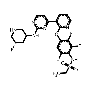 O=S(=O)(CC(F)(F)F)Nc1c(F)cc(Oc2ncccc2-c2ccnc(NC3CNC[C@@H](F)C3)n2)c(F)c1F